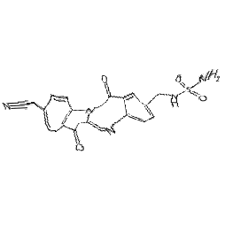 N#Cc1ccc2c(c1)C(=O)c1nc3ccc(CNS(N)(=O)=O)cc3c(=O)n1-2